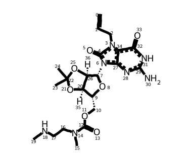 C=CCn1c(=O)n([C@@H]2O[C@H](COC(=O)N(C)CCNC)[C@H]3OC(C)(C)O[C@H]32)c2nc(N)[nH]c(=O)c21